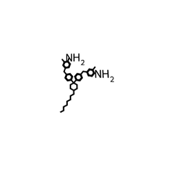 CCCCCCCCC1CCC(c2ccc(Cc3ccc(N)c(C)c3)cc2)(c2ccc(Cc3ccc(N)c(C)c3)cc2)CC1